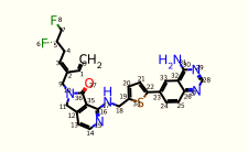 C=C/C(=C\C[C@H](F)CF)CN1Cc2ccnc(NCc3ccc(-c4ccc5ncnc(N)c5c4)s3)c2C1=O